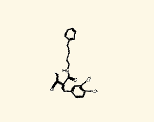 CC(=O)C(=Cc1ccc(Cl)c(Cl)c1)C(=O)NCCCCc1ccccc1